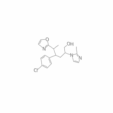 Cc1nccn1C(CO)CC(c1ccc(Cl)cc1)C(C)c1ncco1